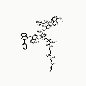 CC=CC(=O)SCCNC(=O)CCNC(=O)C(O)C(C)(C)COP(=O)(O)OP(=O)(O)OC[C@H]1O[C@@H](n2cnc3c(N)ncnc32)[C@H](O)[C@@H]1OP(=O)(O)O.Nc1ncnc2[nH]cnc12.c1ccc(C2CCc3ccccc3O2)cc1